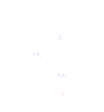 O=C(O)NC1Cc2ncccc2NC1=O